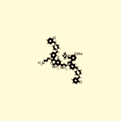 COc1ccc(-c2cn(CCC(N)c3cc(F)c(-c4cn(CCCN)c5ccc(CN6CCN(Cc7ccccc7Cl)CC6)cc45)c(C(N)=O)c3)c3ccc(CN4CCN(Cc5ccccc5Cl)CC4)cc23)c(CNS(C)(=O)=O)c1